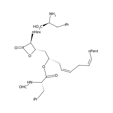 CC(C)C[C@H](N)C(=O)O.CCCCC/C=C\C/C=C\C[C@@H](C[C@@H]1OC(=O)[C@H]1CCCCCC)OC(=O)[C@H](CC(C)C)NC=O